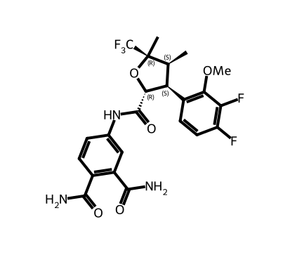 COc1c([C@H]2[C@H](C(=O)Nc3ccc(C(N)=O)c(C(N)=O)c3)O[C@@](C)(C(F)(F)F)[C@H]2C)ccc(F)c1F